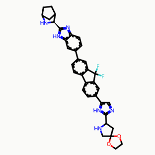 FC1(F)c2cc(-c3ccc4nc([C@H]5NC6CCC5C6)[nH]c4c3)ccc2-c2ccc(-c3cnc(C4CC5(CN4)OCCO5)[nH]3)cc21